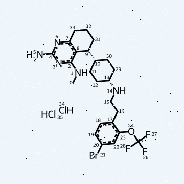 CNc1nc(N)nc2c1C([C@H]1CC[C@@H](NCCc3ccc(Br)cc3OC(F)(F)F)CC1)CCC2.Cl.Cl